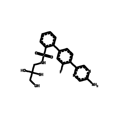 Nc1cnc(-c2ccc(-c3ccccc3S(=O)(=O)NCC(O)(S)CO)cc2F)cn1